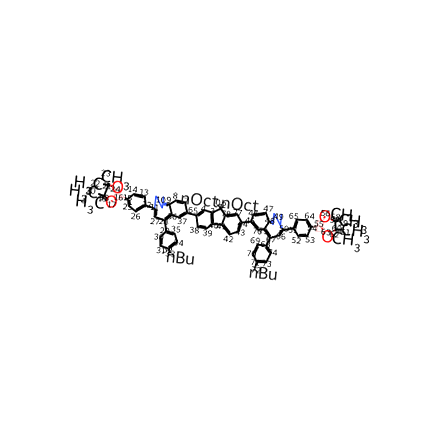 CCCCCCCCC1(CCCCCCCC)c2cc(-c3ccc4nc(-c5ccc(B6OC(C)(C)C(C)(C)O6)cc5)cc(-c5ccc(CCCC)cc5)c4c3)ccc2-c2ccc(-c3ccc4nc(-c5ccc(B6OC(C)(C)C(C)(C)O6)cc5)cc(-c5ccc(CCCC)cc5)c4c3)cc21